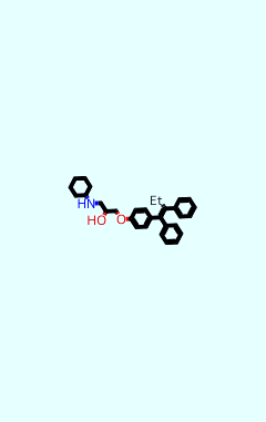 CCC(=C(c1ccccc1)c1ccc(OCC(O)CNC2CCCCC2)cc1)c1ccccc1